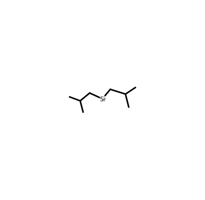 CC(C)C[Si]CC(C)C